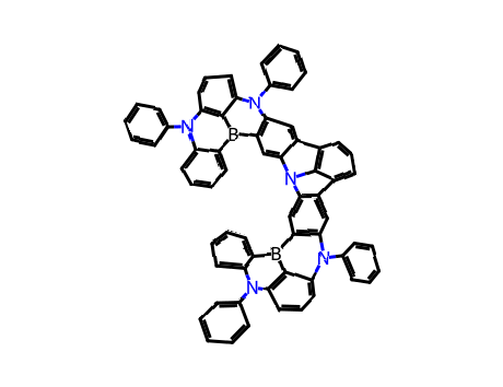 c1ccc(N2c3ccccc3B3c4cc5c(cc4N(c4ccccc4)c4cccc2c43)c2cccc3c4cc6c(cc4n5c23)B2c3ccccc3N(c3ccccc3)c3cccc(c32)N6c2ccccc2)cc1